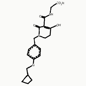 O=C(O)CNC(=O)C1=C(O)CCN(Cc2ccc(OCC3CCC3)cc2)C1=O